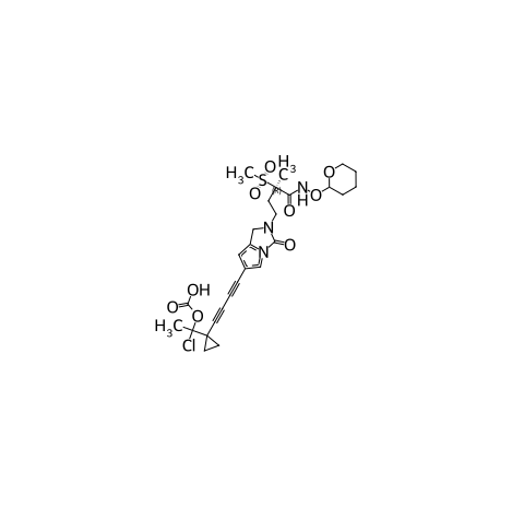 CC(Cl)(OC(=O)O)C1(C#CC#Cc2cc3n(c2)C(=O)N(CC[C@](C)(C(=O)NOC2CCCCO2)S(C)(=O)=O)C3)CC1